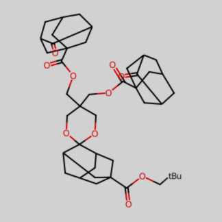 CC(C)(C)COC(=O)C12CC3CC(C1)C1(OCC(COC(=O)C45CC6CC(C4)C(=O)C(C6)C5)(COC(=O)C45CC6CC(C4)C(=O)C(C6)C5)CO1)C(C3)C2